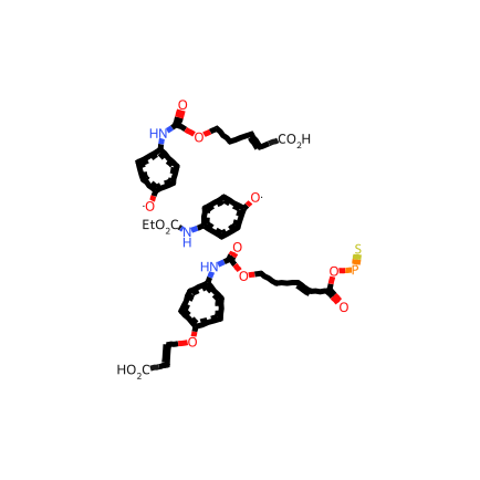 O=C(O)C=COc1ccc(NC(=O)OCCC=CC(=O)OP=S)cc1.[CH2]COC(=O)Nc1ccc([O])cc1.[O]c1ccc(NC(=O)OCCC=CC(=O)O)cc1